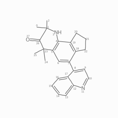 CC1(C)Nc2c(cc(-c3ccnc4ccccc34)c3c2CCC3)C(C)(C)C1=O